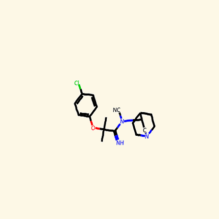 CC(C)(Oc1ccc(Cl)cc1)C(=N)N(C#N)C1CN2CCC1CC2